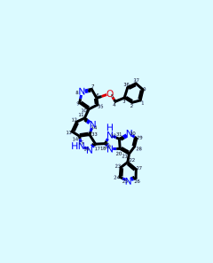 c1ccc(COc2cncc(-c3ccc4[nH]nc(-c5nc6c(-c7ccncc7)ccnc6[nH]5)c4n3)c2)cc1